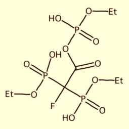 CCOP(=O)(O)OC(=O)C(F)(P(=O)(O)OCC)P(=O)(O)OCC